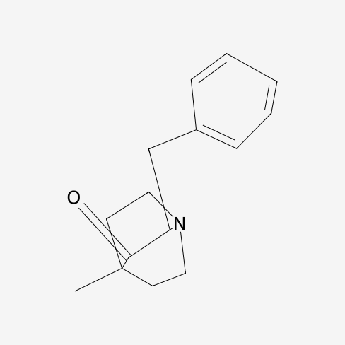 CC12CCN(CC1)C(Cc1ccccc1)C2=O